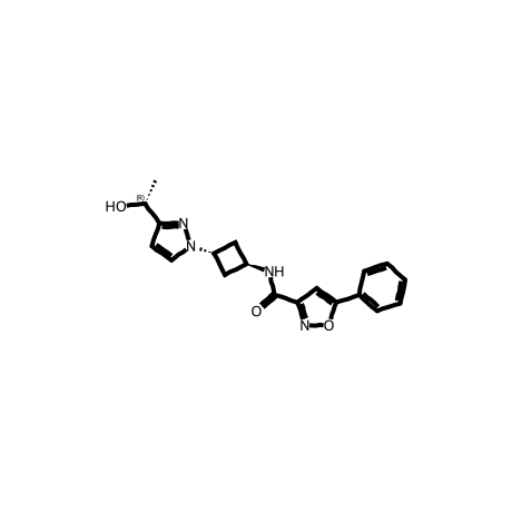 C[C@@H](O)c1ccn([C@H]2C[C@H](NC(=O)c3cc(-c4ccccc4)on3)C2)n1